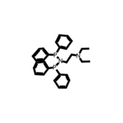 CCN(CC)CCN(P(c1ccccc1)c1ccccc1)P(c1ccccc1)c1ccccc1